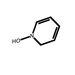 ON1[C]=CC=CC1